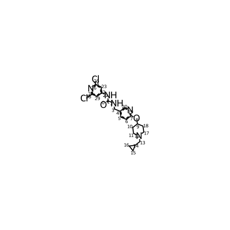 O=C(NCc1ccc(OC2CCN(CC3CC3)CC2)nc1)Nc1cc(Cl)nc(Cl)c1